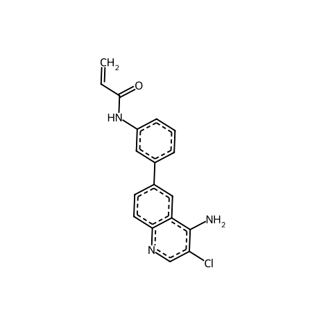 C=CC(=O)Nc1cccc(-c2ccc3ncc(Cl)c(N)c3c2)c1